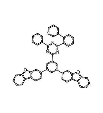 c1ccc(-c2nc(-c3cc(-c4ccc5c(c4)oc4ccccc45)cc(-c4ccc5c(c4)oc4ccccc45)c3)nc(-c3ccccc3-c3cccnc3)n2)cc1